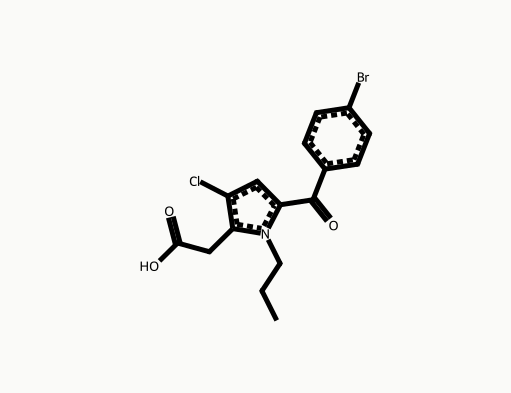 CCCn1c(C(=O)c2ccc(Br)cc2)cc(Cl)c1CC(=O)O